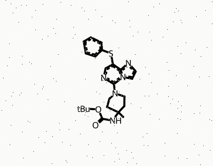 CC1(NC(=O)OC(C)(C)C)CCN(c2ncc(Sc3ccccc3)c3nccn23)CC1